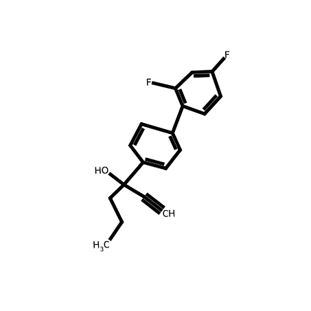 C#CC(O)(CCC)c1ccc(-c2ccc(F)cc2F)cc1